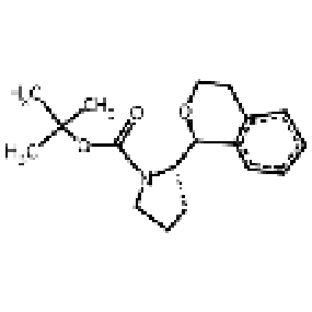 CC(C)(C)OC(=O)N1CCC[C@H]1[C@H]1OCCc2ccccc21